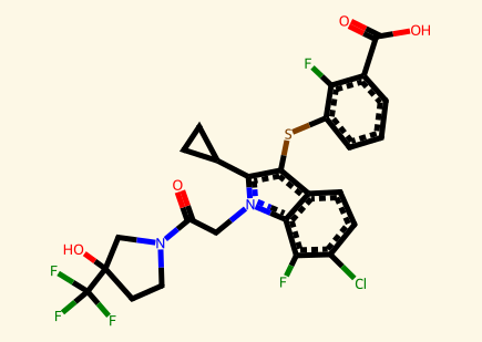 O=C(O)c1cccc(Sc2c(C3CC3)n(CC(=O)N3CCC(O)(C(F)(F)F)C3)c3c(F)c(Cl)ccc23)c1F